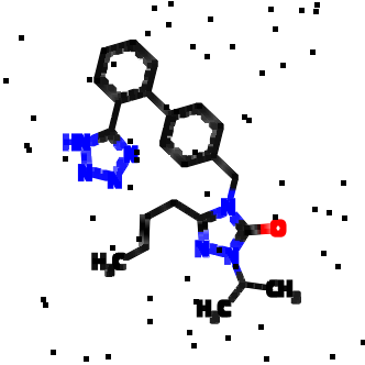 C/C=C/Cc1nn(C(C)C)c(=O)n1Cc1ccc(-c2ccccc2-c2nnn[nH]2)cc1